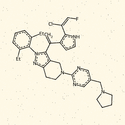 C=C(c1cc[nH]c1/C(Cl)=C\F)c1c2c(nn1-c1c(CC)cccc1CC)CCN(c1ncc(CN3CCCC3)cn1)C2